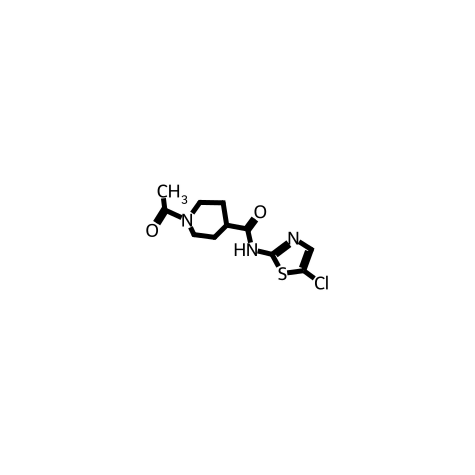 CC(=O)N1CCC(C(=O)Nc2ncc(Cl)s2)CC1